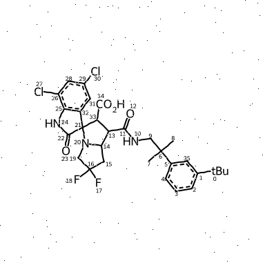 CC(C)(C)c1cccc(C(C)(C)CNC(=O)C2C3CC(F)(F)CN3C3(C(=O)Nc4c(Cl)cc(Cl)cc43)C2C(=O)O)c1